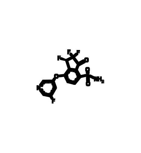 NS(=O)(=O)c1ccc(Oc2cncc(F)c2)c2c1C(=O)C(F)(F)[C@@H]2F